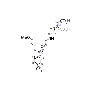 COCCCC/C(=N\OCCNCCN/C(=C/C(=O)O)C(=O)O)c1ccc(C(F)(F)F)cc1